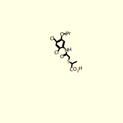 CC(C)Oc1cc(NC(=O)CSC(C)C(=O)O)c(Cl)cc1Cl